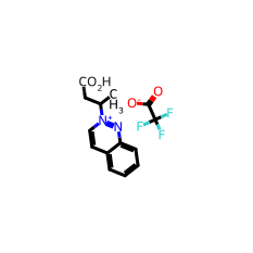 CC(CC(=O)O)[n+]1ccc2ccccc2n1.O=C([O-])C(F)(F)F